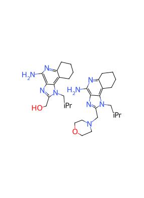 CC(C)Cn1c(CN2CCOCC2)nc2c(N)nc3c(c21)CCCC3.CC(C)Cn1c(CO)nc2c(N)nc3c(c21)CCCC3